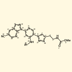 COC(=O)NCCc1cn(-c2cnc(-n3ncc4cc(C#N)cnc43)cc2NC(C)C)nn1